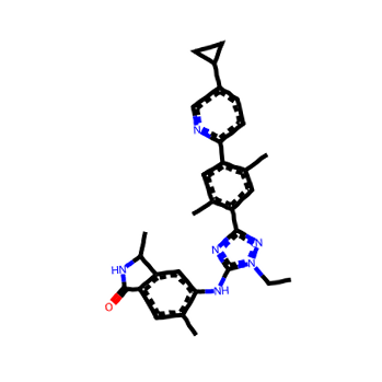 CCn1nc(-c2cc(C)c(-c3ccc(C4CC4)cn3)cc2C)nc1Nc1cc2c(cc1C)C(=O)NC2C